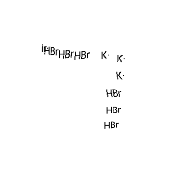 Br.Br.Br.Br.Br.Br.[Ir].[K].[K].[K]